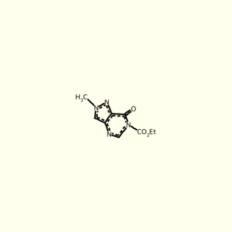 CCOC(=O)n1cnc2cn(C)nc2c1=O